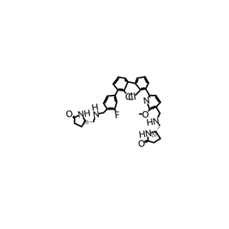 COc1nc(-c2cccc(-c3cccc(-c4ccc(CNC[C@@H]5CCC(=O)N5)c(F)c4)c3Cl)c2Cl)ccc1CNC[C@@H]1CCC(=O)N1